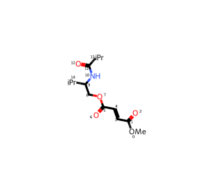 COC(=O)/C=C/C(=O)OCC(NC(=O)C(C)C)C(C)C